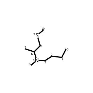 CCCCN(C)C(C)CSC